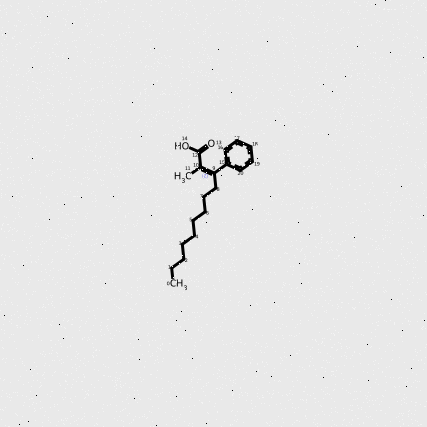 CCCCCCCCC/C(=C(\C)C(=O)O)c1ccccc1